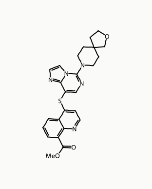 COC(=O)c1cccc2c(Sc3cnc(N4CCC5(CCOC5)CC4)n4ccnc34)ccnc12